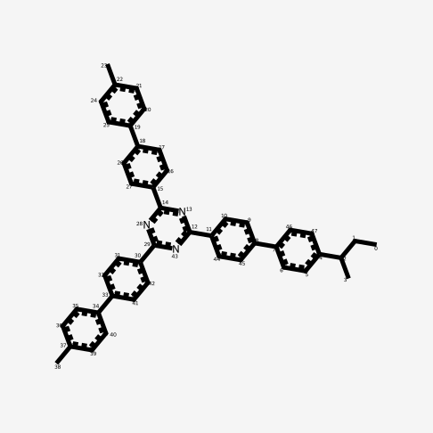 CCC(C)c1ccc(-c2ccc(-c3nc(-c4ccc(-c5ccc(C)cc5)cc4)nc(-c4ccc(-c5ccc(C)cc5)cc4)n3)cc2)cc1